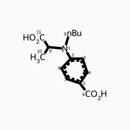 CCCCN(c1ccc(C(=O)O)cc1)C(C)C(=O)O